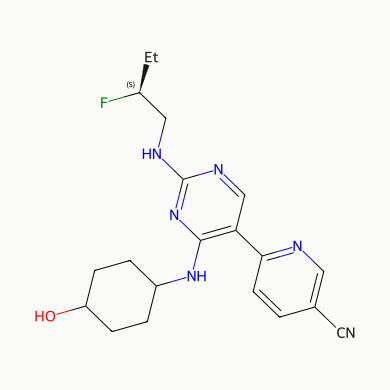 CC[C@H](F)CNc1ncc(-c2ccc(C#N)cn2)c(NC2CCC(O)CC2)n1